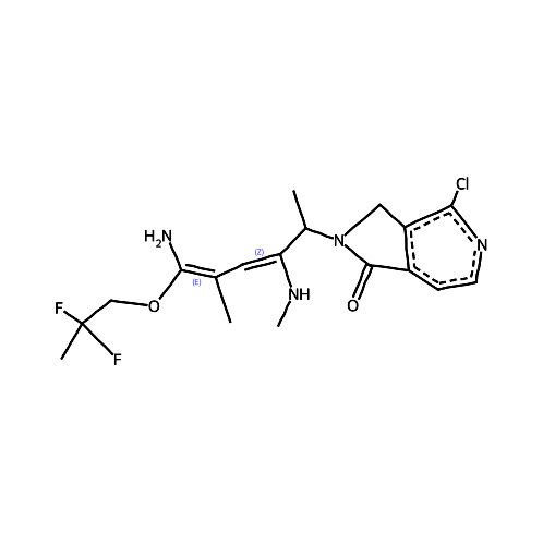 CN/C(=C\C(C)=C(/N)OCC(C)(F)F)C(C)N1Cc2c(ccnc2Cl)C1=O